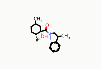 CC(CNC(=O)[C@]1(O)C[C@H](C)CC[C@H]1C(C)C)c1ccccc1